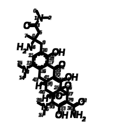 CN(C)C(=O)CC(C)(N)Cc1cc(N(C)C)c2c(c1O)C(=O)C1=C(O)[C@]34OC3(O)C(C(N)=O)=C(O)[C@@H](N(C)C)[C@@H]4C[C@@H]1C2